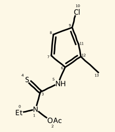 CCN(OC(C)=O)C(=S)Nc1ccc(Cl)cc1C